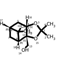 CC1(C)O[C@H]2C[C@H]3C[C@H](C3(C)C)[C@@]2(CO)O1